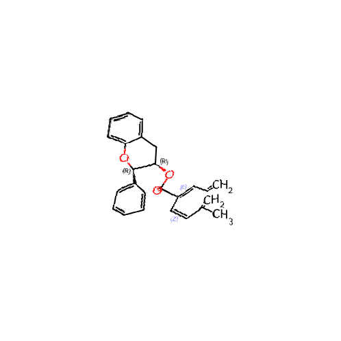 C=C/C=C(\C=C/C(=C)C)C(=O)O[C@@H]1Cc2ccccc2O[C@@H]1c1ccccc1